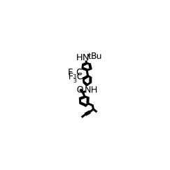 CC#CC(C)Cc1cccc(C(=O)Nc2ccc(-c3ccc(NC(C)(C)C)cc3C(F)(F)F)c(C(F)(F)F)c2)c1